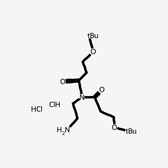 CC(C)(C)OCCC(=O)N(CCN)C(=O)CCOC(C)(C)C.Cl.Cl